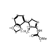 COC(=O)NC1=NCC(c2cccc3c2OCO3)N1C